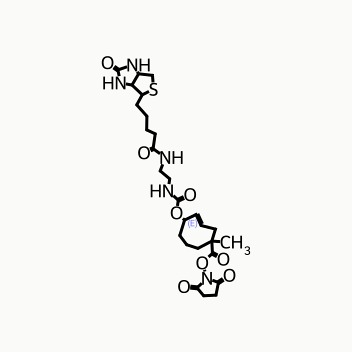 CC1(C(=O)ON2C(=O)CCC2=O)C/C=C/C(OC(=O)NCCNC(=O)CCCCC2SCC3NC(=O)NC32)CCC1